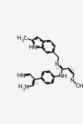 C=N/C=C\C(=N/Cc1ccc2cc(C)[nH]c2c1)Nc1ccc(/C(C=N)=C/N)cc1